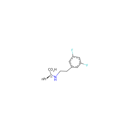 CCC[C@H](NCCc1cc(F)cc(F)c1)C(=O)O